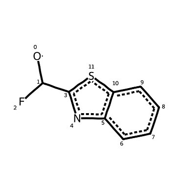 [O]C(F)c1nc2ccccc2s1